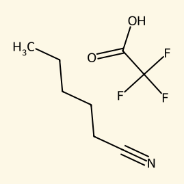 CCCCCC#N.O=C(O)C(F)(F)F